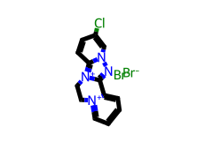 Clc1ccc2n(c1)nc1[n+]2CC[n+]2ccccc2-1.[Br-].[Br-]